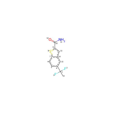 CC(F)(F)c1ccc2sc(C(N)=O)cc2c1